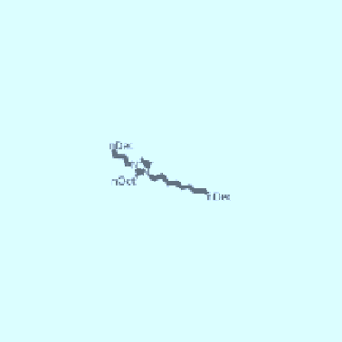 CCCCCCCCCCCCCCCCCCn1cc[n+](CCCCCCCCCCCCC)c1CCCCCCCC